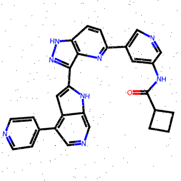 O=C(Nc1cncc(-c2ccc3[nH]nc(-c4cc5c(-c6ccncc6)cncc5[nH]4)c3n2)c1)C1CCC1